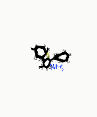 CC1CCC2(C)SC3=C(C(C)CC(N)C3C3CC=CCC3)C2C1